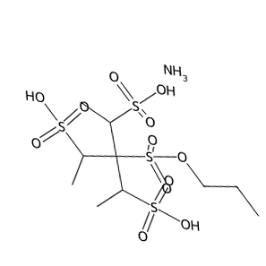 CCCOS(=O)(=O)C(C(C)S(=O)(=O)O)(C(C)S(=O)(=O)O)C(C)S(=O)(=O)O.N